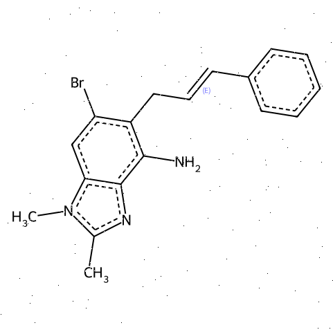 Cc1nc2c(N)c(C/C=C/c3ccccc3)c(Br)cc2n1C